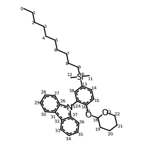 CCCCCCCCCC[Si](C)(C)c1ccc(OC2CCCCO2)c(-n2c3ccccc3c3ccccc32)c1